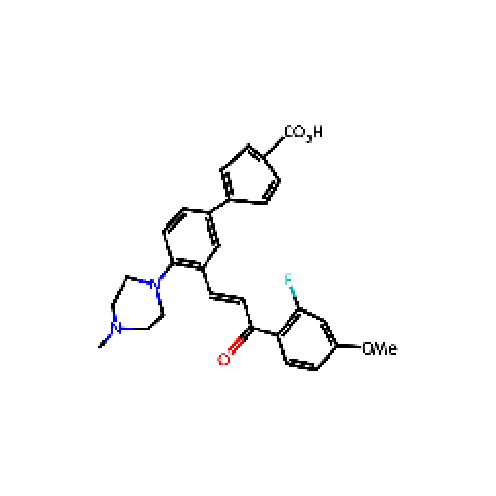 COc1ccc(C(=O)C=Cc2cc(-c3ccc(C(=O)O)cc3)ccc2N2CCN(C)CC2)c(F)c1